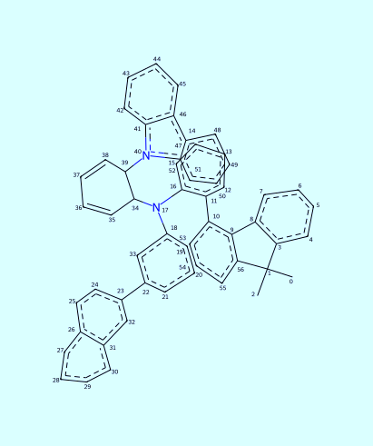 CC1(C)c2ccccc2-c2c(-c3ccccc3N(c3cccc(-c4ccc5ccccc5c4)c3)C3C=CC=CC3n3c4ccccc4c4ccccc43)cccc21